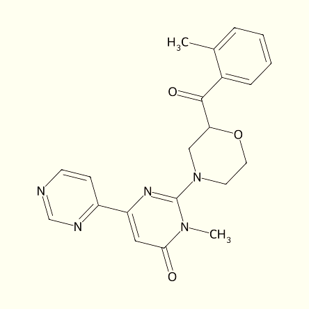 Cc1ccccc1C(=O)C1CN(c2nc(-c3ccncn3)cc(=O)n2C)CCO1